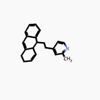 Cc1cc(CCC2c3ccccc3C=C3CCC=CC32)ccn1